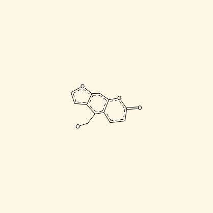 [O]Cc1c2ccoc2cc2oc(=O)ccc12